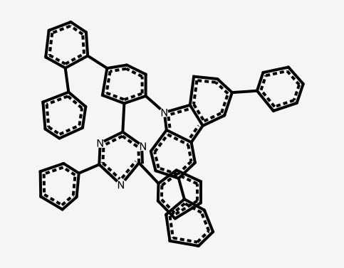 c1ccc(-c2ccc3c(c2)c2cc(-c4ccccc4)ccc2n3-c2ccc(-c3ccccc3-c3ccccc3)cc2-c2nc(-c3ccccc3)nc(-c3ccccc3)n2)cc1